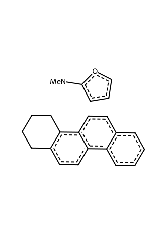 CNc1ccco1.c1ccc2c(c1)ccc1c3c(ccc12)CCCC3